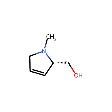 CN1CC=C[C@H]1CO